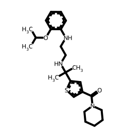 CC(C)Oc1ccccc1NCCNC(C)(C)c1cc(C(=O)N2CCCCC2)cs1